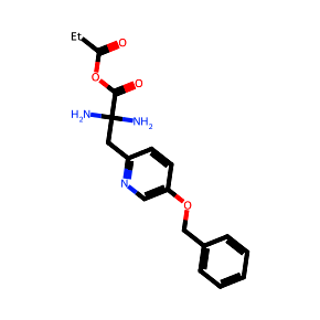 CCC(=O)OC(=O)C(N)(N)Cc1ccc(OCc2ccccc2)cn1